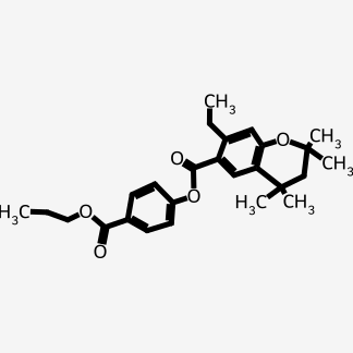 CCCOC(=O)c1ccc(OC(=O)c2cc3c(cc2CC)OC(C)(C)CC3(C)C)cc1